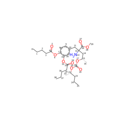 CCCCC(=O)Oc1ccc(CC(N)(C[C@H](C)OC(=O)O[C@@H](C)CCC)C(=O)OC)cc1OC(=O)CCCC